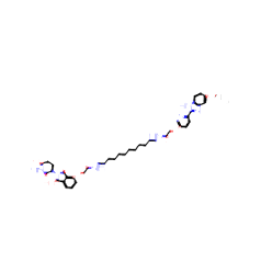 O=C(COc1ccc(-c2nc3cc(OC(F)(F)F)ccc3[nH]2)nc1)NCCCCCCCCCCCCNC(=O)COc1cccc2c1C(=O)N(C1CCC(=O)NC1=O)C2=O